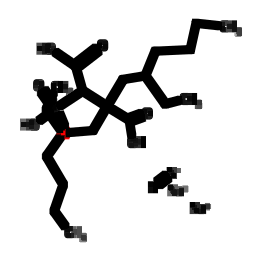 CCCCC(CC)CC(CC(CC)CCCC)(C(=O)O)C(C(=O)O)S(=O)(=O)O.[N-]=[N-].[Na+].[Na+]